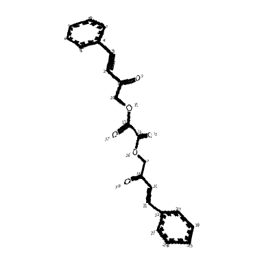 O=C(C=Cc1ccccc1)COC(=O)C(=O)OCC(=O)C=Cc1ccccc1